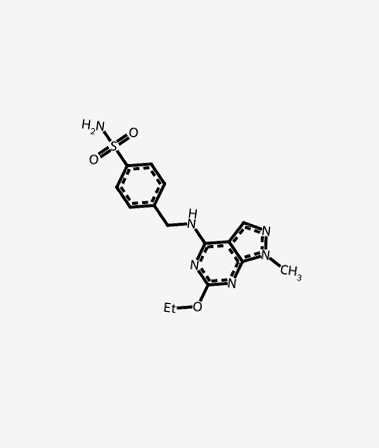 CCOc1nc(NCc2ccc(S(N)(=O)=O)cc2)c2cnn(C)c2n1